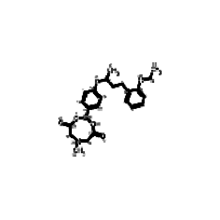 CC(CCc1ccccc1OCC(F)(F)F)Oc1ccc(B2OC(=O)CN(C)CC(=O)O2)cc1